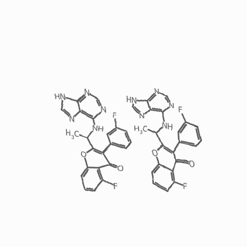 CC(Nc1ncnc2[nH]cnc12)c1oc2cccc(F)c2c(=O)c1-c1cccc(F)c1.CC(Nc1ncnc2[nH]cnc12)c1oc2cccc(F)c2c(=O)c1-c1cccc(F)c1